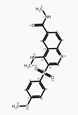 CNC(=O)c1ccc2ncc(S(=O)(=O)c3ccc(OC)cc3)c(NC)c2c1